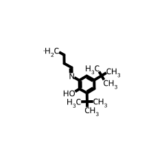 [CH2]CCC=Nc1cc(C(C)(C)C)cc(C(C)(C)C)c1O